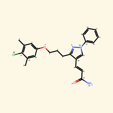 Cc1cc(OCCCc2nn(-c3ccccc3)cc2C=CC(N)=O)cc(C)c1Cl